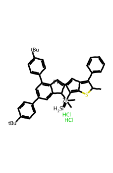 CC1=Cc2c(-c3ccc(C(C)(C)C)cc3)cc(-c3ccc(C(C)(C)C)cc3)cc2[CH]1[Zr]([CH3])([CH3])(=[SiH2])[C]1=C2SC(C)C(c3ccccc3)=C2C=C1C(C)C.Cl.Cl